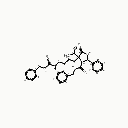 CC(C)C1(CCCCNC(=O)OCc2ccccc2)C(=O)OC(c2ccccc2)N1C(=O)OCc1ccccc1